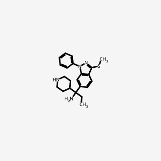 CCC(N)(c1ccc2c(SC)nn(-c3ccccc3)c2c1)C1CCNCC1